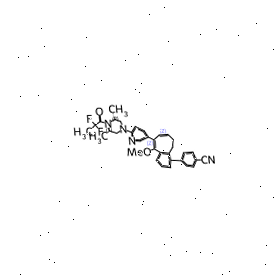 CO/C1=C(c2ccc(N3C[C@@H](C)N(C(=O)C(C)(F)F)[C@@H](C)C3)nc2)/C=C\CCc2c1cccc2-c1ccc(C#N)cc1